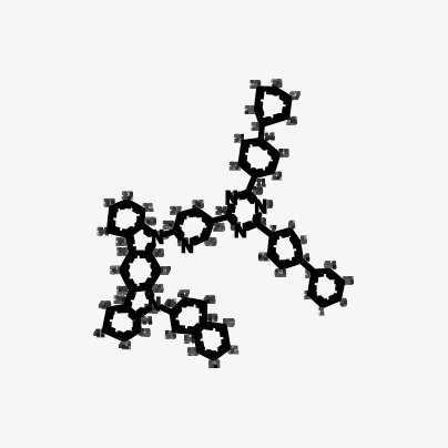 c1ccc(-c2ccc(-c3nc(-c4ccc(-c5ccccc5)cc4)nc(-c4ccc(-n5c6ccccc6c6cc7c8ccccc8n(-c8ccc9ccccc9c8)c7cc65)nc4)n3)cc2)cc1